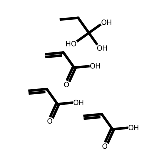 C=CC(=O)O.C=CC(=O)O.C=CC(=O)O.CCC(O)(O)O